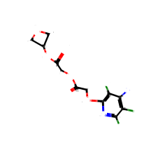 Nc1c(Cl)c(F)nc(OCC(=O)OCC(=O)OC2COC2)c1Cl